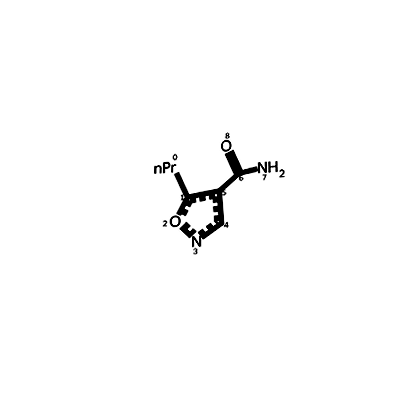 CCCc1oncc1C(N)=O